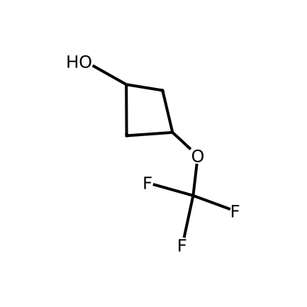 OC1CC(OC(F)(F)F)C1